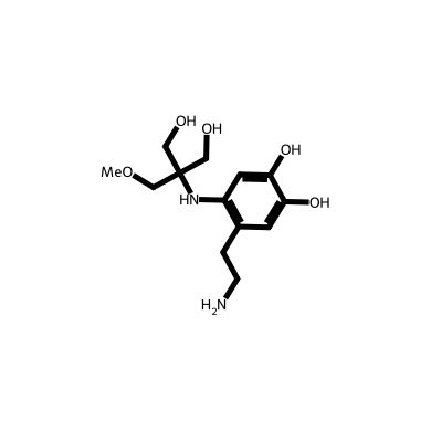 COCC(CO)(CO)Nc1cc(O)c(O)cc1CCN